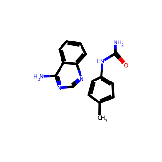 Cc1ccc(NC(N)=O)cc1.Nc1ncnc2ccccc12